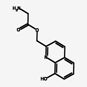 NCC(=O)OCc1ccc2cccc(O)c2n1